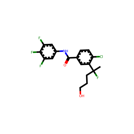 CC(F)(CCCO)c1cc(C(=O)Nc2cc(F)c(F)c(F)c2)ccc1Cl